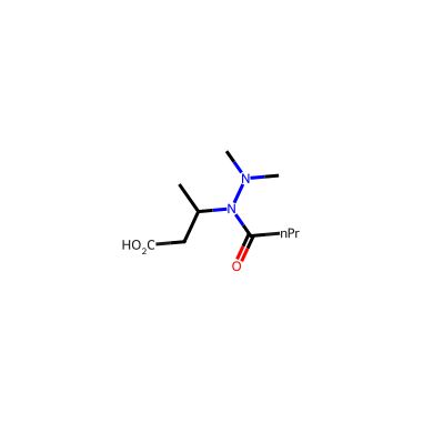 CCCC(=O)N(C(C)CC(=O)O)N(C)C